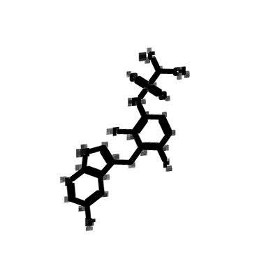 CC(C)S(=O)(=O)Nc1ccc(F)c(Cc2c[nH]c3ncc(Br)cc23)c1F